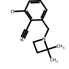 CC1(C)CCN1Cc1cccc(Cl)c1C#N